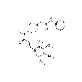 CCN(C(=O)COc1cc(C)c(N)c(C)c1C)C1CCN(CC(=O)Nc2ccccc2)CC1